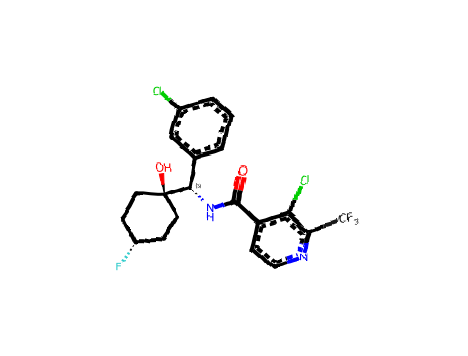 O=C(N[C@@H](c1cccc(Cl)c1)[C@]1(O)CC[C@H](F)CC1)c1ccnc(C(F)(F)F)c1Cl